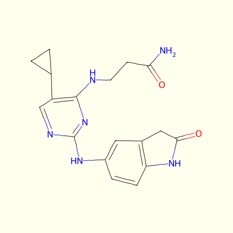 NC(=O)CCNc1nc(Nc2ccc3c(c2)CC(=O)N3)ncc1C1CC1